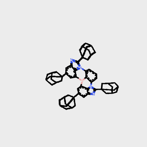 c1cc2c3c(c1)-n1c(C45CC6CC(CC(C6)C4)C5)nc4cc(C56CC7CC(CC(C7)C5)C6)cc(c41)B3c1cc(C34CC5CC(CC(C5)C3)C4)cc3nc(C45CC6CC(CC(C6)C4)C5)n-2c13